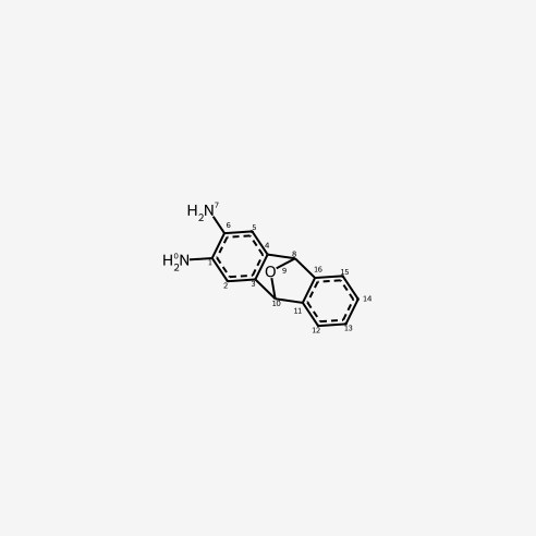 Nc1cc2c(cc1N)C1OC2c2ccccc21